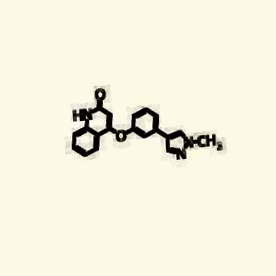 Cn1cc(-c2cccc(Oc3cc(=O)[nH]c4ccccc34)c2)cn1